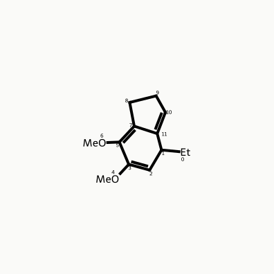 CCC1C=C(OC)C(OC)=C2CCC=C21